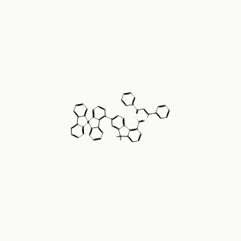 CC1(C)c2cc(-c3cccc4c3-c3ccccc3C43c4ccccc4-c4ccccc43)ccc2-c2c(-c3nc(-c4ccccc4)cc(-c4ccccc4)n3)cccc21